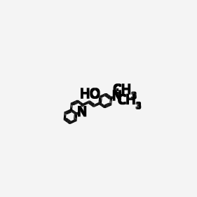 CN(C)c1ccc(C=Cc2ccc3ccccc3n2)c(O)c1